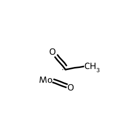 C[C]=O.[O]=[Mo]